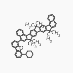 CC1(C)c2cc3c(cc2-c2cc4c(cc21)-c1c(cc(-c2cccc5c2oc2c(C6CCCCC6)cccc25)c2ccccc12)C4(C)C)C(C)(C)c1ccc2ccccc2c1-3